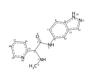 CNC(C(=O)Nc1ccc2[nH]ncc2c1)c1ccccn1